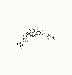 COC(=O)CC1COc2cc(O[C@@H]3CCc4c(-c5c(C)cc(C6=CCN(S(C)(=O)=O)CC6)cc5C)ccc(F)c43)ccc21